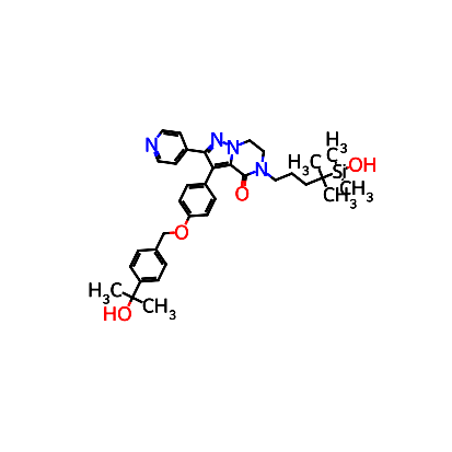 CC(C)(O)c1ccc(COc2ccc(-c3c(-c4ccncc4)nn4c3C(=O)N(CCCC(C)(C)[Si](C)(C)O)CC4)cc2)cc1